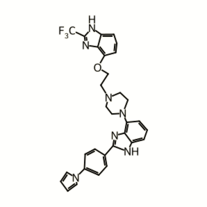 FC(F)(F)c1nc2c(OCCN3CCN(c4cccc5[nH]c(-c6ccc(-n7cccc7)cc6)nc45)CC3)cccc2[nH]1